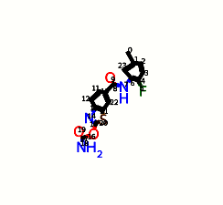 Cc1ccc(F)c(NC(=O)c2ccc3nc(OC(N)=O)sc3c2)c1